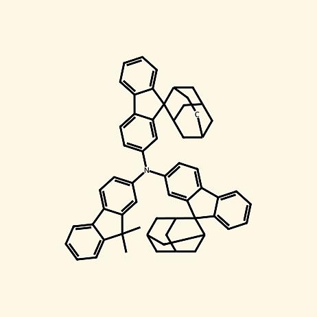 CC1(C)c2ccccc2-c2ccc(N(c3ccc4c(c3)C3(c5ccccc5-4)C4CCC5CC(C4)CC3C5)c3ccc4c(c3)C3(c5ccccc5-4)C4CC5CC(C4)CC3C5)cc21